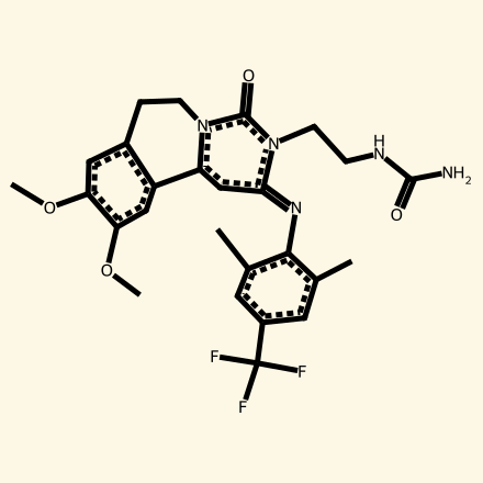 COc1cc2c(cc1OC)-c1cc(=Nc3c(C)cc(C(F)(F)F)cc3C)n(CCNC(N)=O)c(=O)n1CC2